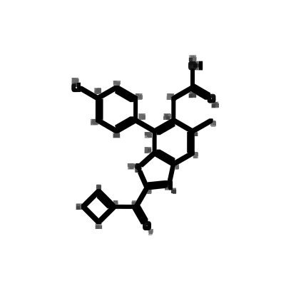 Cc1cc2nc(C(=O)C3=CCC3)sc2c(-c2ccc(Cl)cc2)c1CC(=O)O